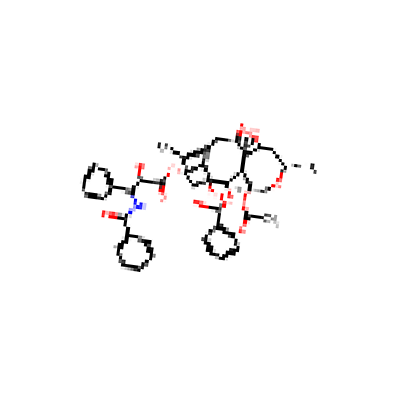 CC(=O)O[C@@H]1CO[C@@H](C)C[C@H](O)[C@@]2(C)C(=O)CC3=C(C)[C@]4(OC(=O)C(O)C(NC(=O)c5ccccc5)c5ccccc5)C[C@@](O)(C(OC(=O)c5ccccc5)[C@H]12)[C@@]34C